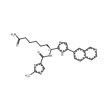 Cc1ncc(C(=O)N[C@@H](CCCCCC(N)=O)c2ncc(-c3ccc4ccncc4c3)[nH]2)s1